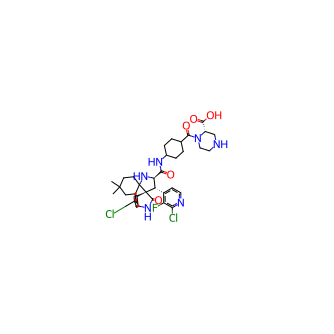 CC1(C)CCC2(CC1)N[C@@H](C(=O)NC1CCC(C(=O)N3CCNC[C@H]3C(=O)O)CC1)[C@H](c1ccnc(Cl)c1F)[C@]21C(=O)Nc2cc(Cl)ccc21